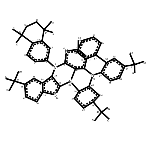 Cc1nc2c3c(n1)N(c1ccc4c(c1)C(C)(C)CCC4(C)C)c1c(sc4ccc(C(C)(C)C)cc14)B3c1ccc(C(C)(C)C)cc1N2c1ccc(C(C)(C)C)cc1-c1ccccc1